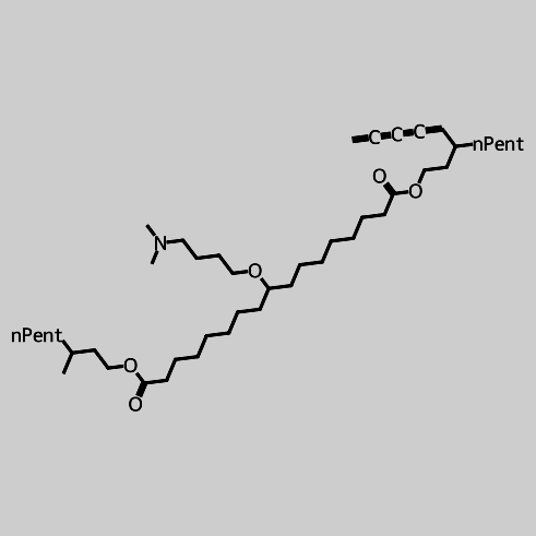 C=C=C=C=CC(CCCCC)CCOC(=O)CCCCCCCC(CCCCCCCC(=O)OCCC(C)CCCCC)OCCCCN(C)C